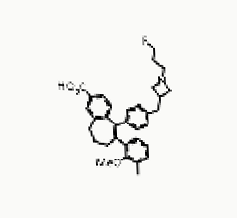 COc1c(C)cccc1C1=C(c2ccc(CC3CN(CCCF)C3)cc2)c2ccc(C(=O)O)cc2CCC1